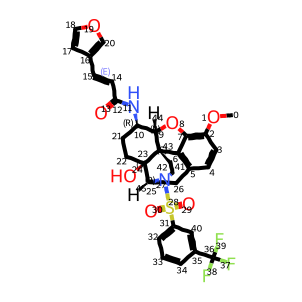 COc1ccc2c3c1O[C@H]1[C@H](NC(=O)/C=C/c4ccoc4)CC[C@@]4(O)[C@@H](C2)N(S(=O)(=O)c2cccc(C(F)(F)F)c2)CC[C@]314